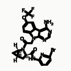 Nc1ncnc2c1c1cc(OC(F)(F)F)ccc1n2CC(=O)N1[C@@H]2C[C@@H]2C[C@H]1C(=O)Nc1cccc(Br)n1